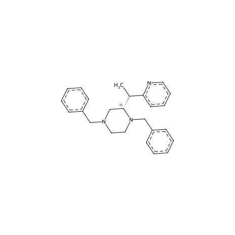 CC(c1ccccn1)[C@H]1CN(Cc2ccccc2)CCN1Cc1ccccc1